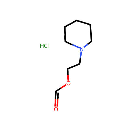 Cl.O=COCCN1CCCCC1